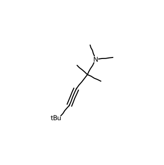 CN(C)C(C)(C)C#CC(C)(C)C